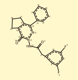 O=C(Cc1cc(F)cc(F)c1)Nn1nc(-c2ccccc2)c2c(c1=O)CCC2